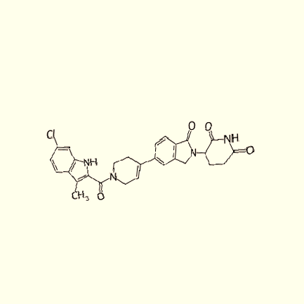 Cc1c(C(=O)N2CC=C(c3ccc4c(c3)CN(C3CCC(=O)NC3=O)C4=O)CC2)[nH]c2cc(Cl)ccc12